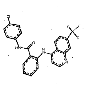 O=C(Nc1ccc(Cl)cc1)c1ccccc1Nc1ccnc2cc(C(F)(F)F)ccc12